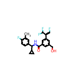 Cc1cc(C(NC(=O)c2cc(CO)cc(C(=CF)C(F)F)c2)C2CC2)ccc1F